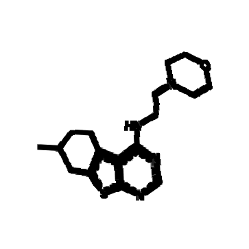 CC1CCc2c(sc3ncnc(NCCN4CCOCC4)c23)C1